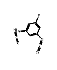 N=C=S.O=C=Nc1cc(F)cc(F)c1